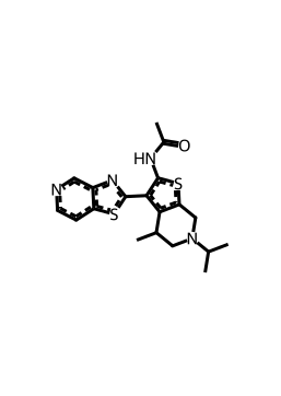 CC(=O)Nc1sc2c(c1-c1nc3cnccc3s1)C(C)CN(C(C)C)C2